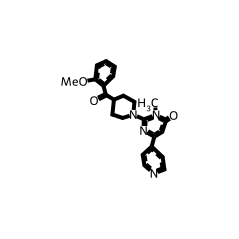 COc1ccccc1C(=O)C1CCN(c2nc(-c3ccncc3)cc(=O)n2C)CC1